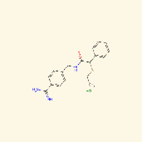 CCSC(C(=O)NCc1ccc(C(=N)N)cc1)c1ccccc1.Cl